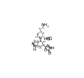 Cl.Cl.NCCC1CCN(c2cc(-c3n[nH]c(=O)o3)cc3[nH]ncc23)CC1